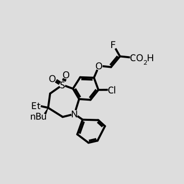 CCCC[C@]1(CC)CN(c2ccccc2)c2cc(Cl)c(O/C=C(\F)C(=O)O)cc2S(=O)(=O)C1